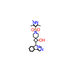 Cc1nn(C)c(C)c1S(=O)(=O)N1CCC2(CC1)CC(C1c3ccccc3-c3cncn31)C2O